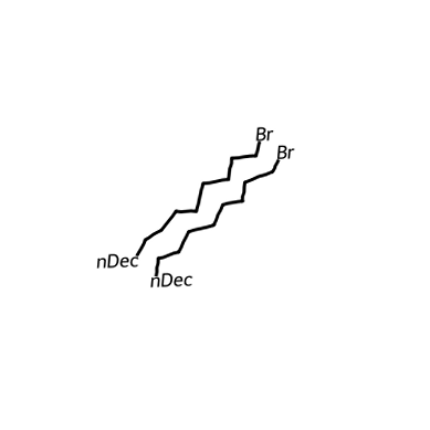 CCCCCCCCCCCCCCCCCCBr.CCCCCCCCCCCCCCCCCCBr